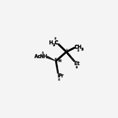 CCC(C)(C)[C@@H](NC(C)=O)C(C)C